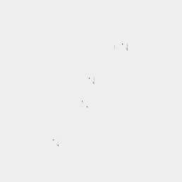 N#CC1=C(N=NC2=C(C#N)CCCC2)CCCC1